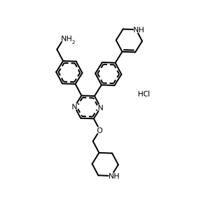 Cl.NCc1ccc(-c2ncc(OCC3CCNCC3)nc2-c2ccc(C3=CCNCC3)cc2)cc1